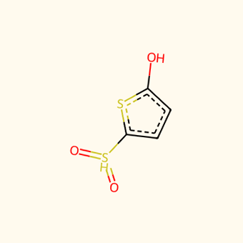 O=[SH](=O)c1ccc(O)s1